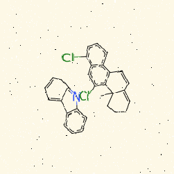 C1=CCC2=Nc3ccccc3C2=C1.CC12CCCC=C1C=Cc1c2c(Cl)cc2c(Cl)cccc12